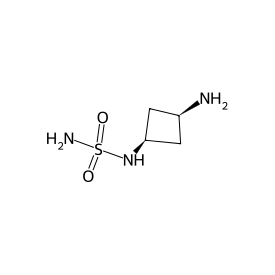 NS(=O)(=O)N[C@H]1C[C@@H](N)C1